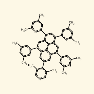 Cc1cc(C)nc(-c2cc(-c3cc(C)cc(C)n3)c3cc(-c4cc(C)nc(C)c4)c4cc(-c5c(C)cncc5C)cc5c(-c6cc(C)nc(C)c6)cc2c3c54)c1